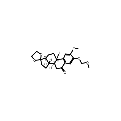 COCOc1cc2c(cc1OC)[C@H]1CC[C@@]3(C)[C@@H](CCC34OCCO4)[C@@H]1CC2=O